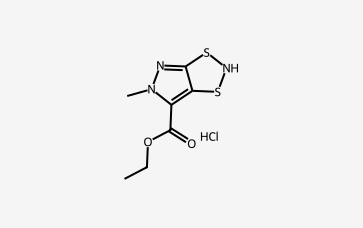 CCOC(=O)c1c2c(nn1C)SNS2.Cl